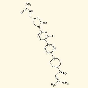 CC(=O)NC[C@H]1CN(c2ccc(-c3cnc(N4CCN(C(=O)C=C(C)C)CC4)nc3)c(F)c2)C(=O)O1